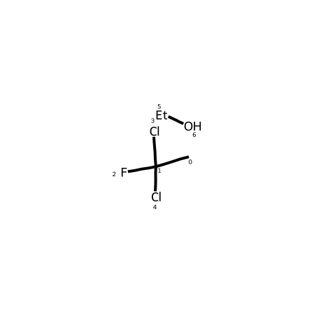 CC(F)(Cl)Cl.CCO